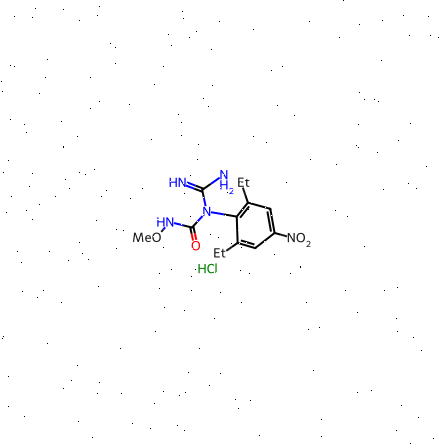 CCc1cc([N+](=O)[O-])cc(CC)c1N(C(=N)N)C(=O)NOC.Cl